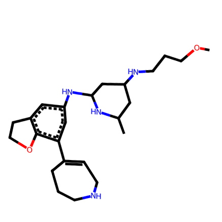 COCCCNC1CC(C)NC(Nc2cc3c(c(C4=CCNCCC4)c2)OCC3)C1